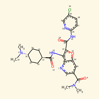 CN(C)C(=O)c1cnc2c(NC(=O)[C@H]3CC[C@H](N(C)C)CC3)c(C(=O)Nc3ccc(Cl)cn3)oc2c1